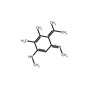 C/N=C1\C=C(NC)C(C)=C(C)C1=C(C)C